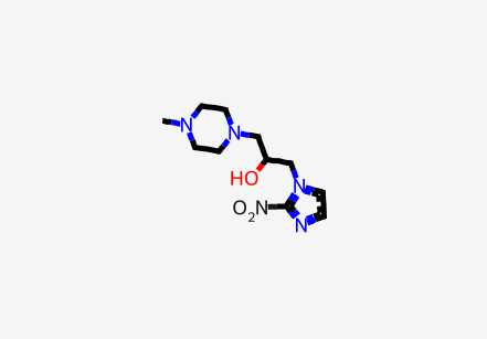 CN1CCN(CC(O)Cn2ccnc2[N+](=O)[O-])CC1